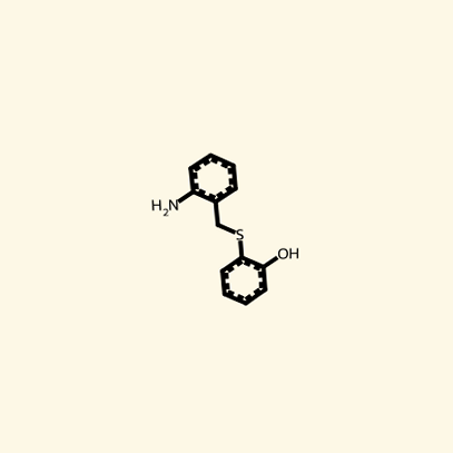 Nc1ccccc1CSc1ccccc1O